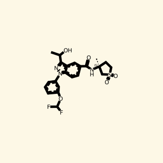 CC(O)c1nn(-c2cccc(OC(F)F)c2)c2ccc(C(=O)N[C@@]3(C)CCS(=O)(=O)C3)cc12